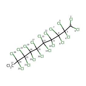 Cl[C](Cl)C(Cl)(Cl)C(Cl)(Cl)C(Cl)(Cl)C(Cl)(Cl)C(Cl)(Cl)C(Cl)(Cl)C(Cl)(Cl)C(Cl)(Cl)C(Cl)(Cl)Cl